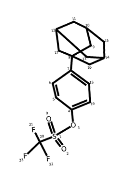 O=S(=O)(Oc1ccc(C23CC4CC(CC(C4)C2)C3)cc1)C(F)(F)F